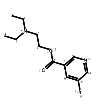 CCN(CC)CCNC(=O)c1cncc([131I])c1